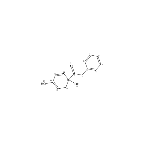 O=C(Cc1ccccc1)C1(O)C=CC(O)=CC1